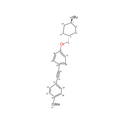 CCCC[C@H]1CC[C@H](COc2ccc(C#Cc3ccc(OC)cc3)cc2)CC1